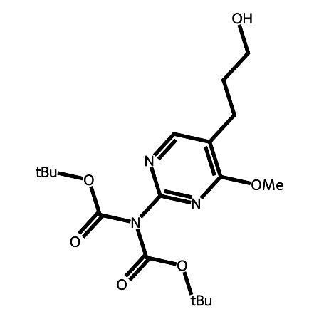 COc1nc(N(C(=O)OC(C)(C)C)C(=O)OC(C)(C)C)ncc1CCCO